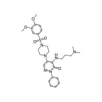 COc1ccc(S(=O)(=O)N2CCN(c3cnn(-c4ccccc4)c(=O)c3NCCCN(C)C)CC2)cc1OC